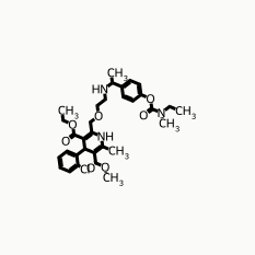 CCOC(=O)C1=C(COCCNC(C)c2ccc(OC(=O)N(C)CC)cc2)NC(C)=C(C(=O)OC)C1c1ccccc1Cl